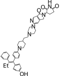 CCC(=C(c1ccc(O)cc1)c1ccc(N2CCC(CCN3CCN(c4cc5c(cn4)C(=O)N(C4CCC(=O)NC4=O)C5)CC3)CC2)cc1)c1ccccc1